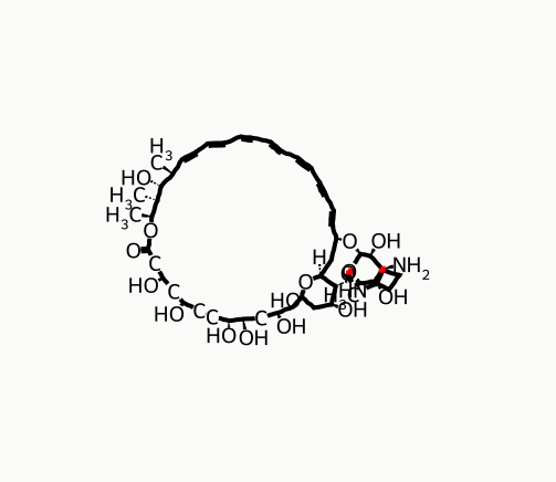 C[C@@H]1[C@H](O)[C@@H](C)/C=C/C=C/C=C/C=C/C=C/C=C/C=C/[C@H](O[C@@H]2O[C@H](C)[C@@H](O)[C@H](N)[C@@H]2O)C[C@@H]2O[C@](O)(C[C@@H](O)C[C@@H](O)[C@H](O)CC[C@@H](O)C[C@@H](O)CC(=O)O[C@H]1C)C[C@H](O)[C@H]2C(=O)NC1CCC1